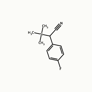 C[Si](C)(C)C(C#N)c1ccc(F)cc1